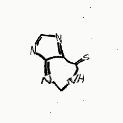 S=C1NCN=C2N=CN=C12